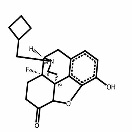 O=C1CC[C@@]2(F)[C@H]3Cc4ccc(O)c5c4[C@@]2(CCN3CC2CCC2)C1O5